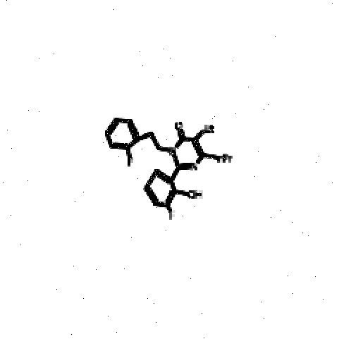 CCCc1nc(-c2cccc(F)c2O)n(CCc2ccccc2F)c(=O)c1CC